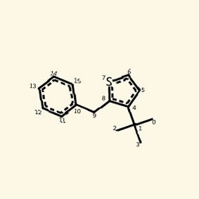 CC(C)(C)c1ccsc1Cc1ccccc1